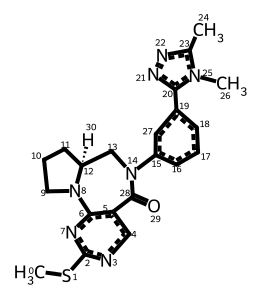 CSc1ncc2c(n1)N1CCC[C@H]1CN(c1cccc(-c3nnc(C)n3C)c1)C2=O